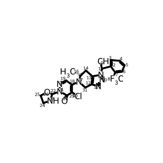 CC(c1ccccc1C(F)(F)F)n1nnc2c1C[C@@H](C)N(c1cnn(C3NCCO3)c(=O)c1Cl)C2